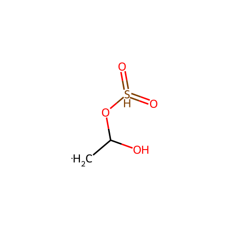 [CH2]C(O)O[SH](=O)=O